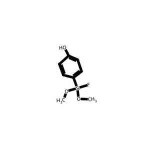 CO[Si](F)(OC)c1ccc(O)cc1